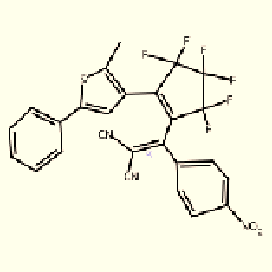 [C-]#[N+]/C(C#N)=C(\C1=C(c2cc(-c3ccccc3)sc2C)C(F)(F)C(F)(F)C1(F)F)c1ccc([N+](=O)[O-])cc1